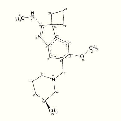 CNC1=Nc2cc(CN3CCC[C@H](C)C3)c(OC)cc2C12CCC2